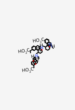 CC(C(=O)O)c1ccc2c(c1)[C@@]13CCN(CC4CCC[C@@H]5[C@@H]6Cc7ccc(C(=O)O)cc7[C@]45CCN6C)[C@@H](C2)[C@H]1CCCC3CN1CC[C@@]23CCCC[C@@H]2[C@@H]1Cc1ccc(CC(=O)O)cc13